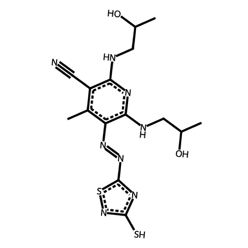 Cc1c(C#N)c(NCC(C)O)nc(NCC(C)O)c1N=Nc1nc(S)ns1